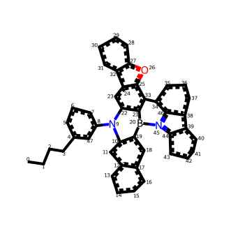 CCCCc1cccc(N2c3cc4ccccc4cc3B3c4c2cc2c(oc5ccccc52)c4-c2cccc4c5ccccc5n3c24)c1